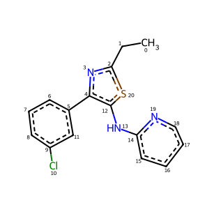 CCc1nc(-c2cccc(Cl)c2)c(Nc2ccccn2)s1